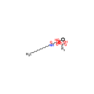 CC(O)C(=O)O.CCCCCCCCCCCCCCNC(=O)CCC(=O)O.O=C(O)c1ccccc1